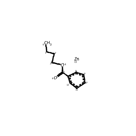 CCCCOC(=O)c1ccccc1.[Zn]